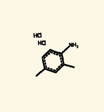 Cc1ccc(N)c(C)c1.Cl.Cl